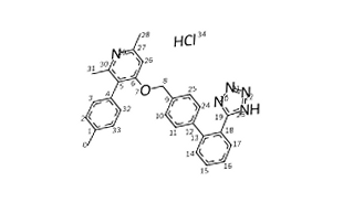 Cc1ccc(-c2c(OCc3ccc(-c4ccccc4-c4nnn[nH]4)cc3)cc(C)nc2C)cc1.Cl